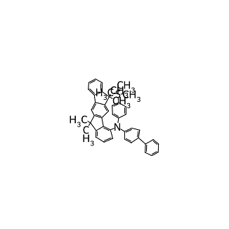 CC1(C)c2ccccc2-c2cc3c(cc21)-c1c(N(c2ccc(-c4ccccc4)cc2)c2ccc(S(C)(C)C)cc2)cccc1C3(C)C